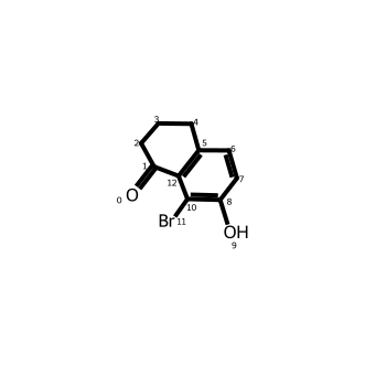 O=C1CCCc2ccc(O)c(Br)c21